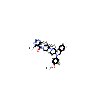 COc1ccc(N(Cc2ccccc2)C2CCN(C3(C)CCN(C(=O)c4c(C)ncnc4C)CC3)CC2)cc1Cl